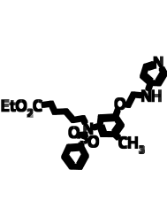 CCOC(=O)CCCCCN(c1cc(C)cc(OCCNc2ccncc2)c1)S(=O)(=O)c1ccccc1